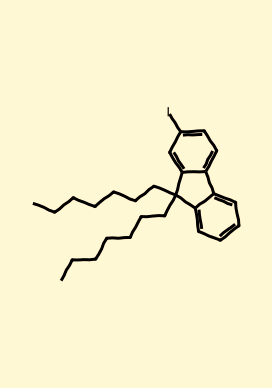 CCCCCCCC1(CCCCCCC)c2ccccc2-c2ccc(I)cc21